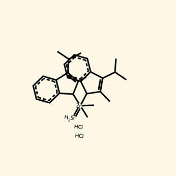 CC1=C(C(C)C)c2ccccc2[CH]1[Zr]([CH3])([CH3])(=[SiH2])[CH]1C(C)=C(C(C)C)c2ccccc21.Cl.Cl